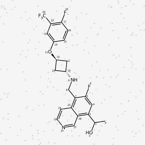 CC(O)c1cc(F)c(CN[C@H]2C[C@H](Oc3ccc(F)c(C(F)(F)F)c3)C2)c2ccncc12